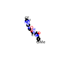 CC[C@@H](CO[C@@H]1CCN(C2CCN(c3ncc(C(F)(F)F)cn3)CC2)C1=O)Nc1cnn(Cc2ccc(OC)cc2)c(=O)c1C